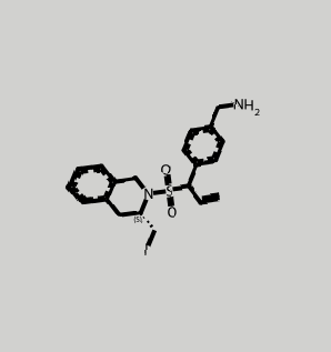 C=CC(c1ccc(CN)cc1)S(=O)(=O)N1Cc2ccccc2C[C@H]1CI